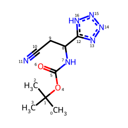 CC(C)(C)OC(=O)NC(CC#N)c1nnn[nH]1